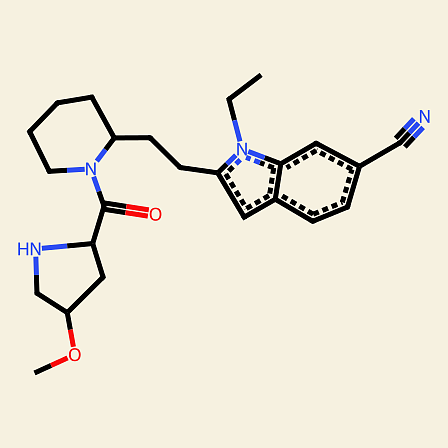 CCn1c(CCC2CCCCN2C(=O)C2CC(OC)CN2)cc2ccc(C#N)cc21